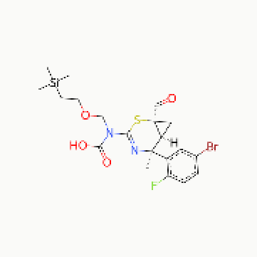 C[C@]1(c2cc(Br)ccc2F)N=C(N(COCC[Si](C)(C)C)C(=O)O)S[C@@]2(C=O)C[C@H]21